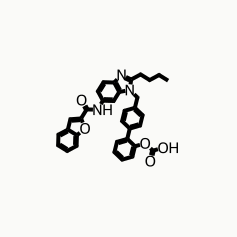 CCCCc1nc2ccc(NC(=O)c3cc4ccccc4o3)cc2n1Cc1ccc(-c2ccccc2OC(=O)O)cc1